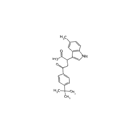 Cc1ccc2[nH]cc(C(CC(=O)c3ccc(C(C)(C)C)cc3)C(=O)O)c2c1